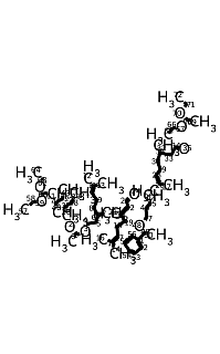 CC(=O)OCCC(C)CCC=C(C)C.CC(C)=CCC/C(C)=C/C=O.CC(C)=CCCC(C)CC=O.CCCC.CCCC.CCCCOC(C)c1ccccc1.CCOC(C)OCC.CCOC(C)OCC